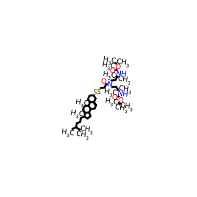 CCC(CCCC1CCC2C3CC=C4CC(SSCCC(=O)N(CCC(C)(C)NC(=O)OC(C)(C)C)CCC(C)(C)NC(=O)OC(C)(C)C)CCC4(C)C3CCC12C)C(C)C